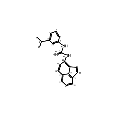 CC(C)c1cccc(NC(=N)Nc2ccc3cccc4c3c2C=C4)c1